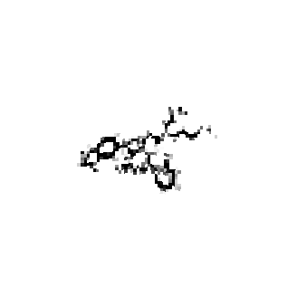 CCCCN(CCN)C(=O)CN1C[C@H](c2ccc3c(c2)OCO3)[C@@H](C(=O)O)[C@@H]1CCn1ccccc1=O